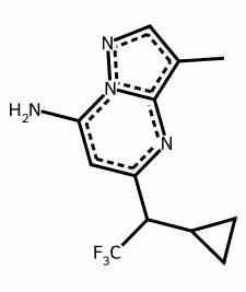 Cc1cnn2c(N)cc(C(C3CC3)C(F)(F)F)nc12